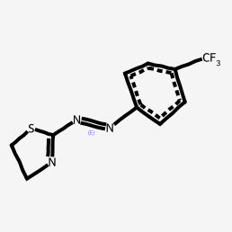 FC(F)(F)c1ccc(/N=N/C2=NCCS2)cc1